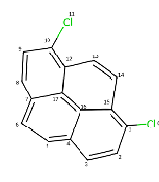 Clc1ccc2ccc3ccc(Cl)c4ccc1c2c34